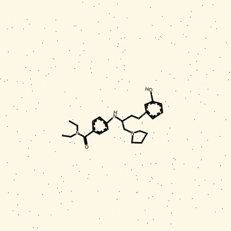 CCN(CC)C(=O)c1ccc(NC(CCc2cccc(O)c2)CN2CCCC2)cc1